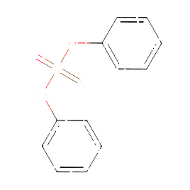 O=S(=S)(Oc1ccccc1)Oc1ccccc1